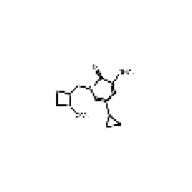 CO[C@H]1CCC1Cn1cc(C2CC2)cc(NC(C)=O)c1=O